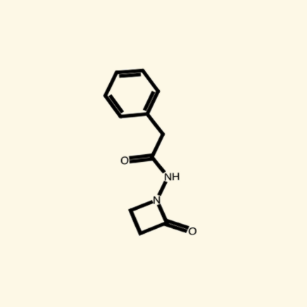 O=C(Cc1ccccc1)NN1CCC1=O